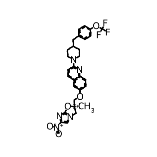 C[C@]1(COc2ccc3nc(N4CCC(Cc5ccc(OC(F)(F)F)cc5)CC4)ccc3c2)Cn2cc([N+](=O)[O-])nc2O1